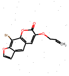 C=CCOc1cc2cc3ccoc3c(Br)c2oc1=O